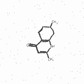 Cc1cc(=O)c2c([nH]1)CC(C)CC2